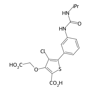 CC(C)NC(=O)Nc1cccc(-c2sc(C(=O)O)c(OCC(=O)O)c2Cl)c1